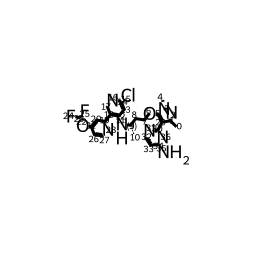 Cc1nn(C)c(OCC[C@H](C)Nc2cc(Cl)ncc2-c2cc(OC(F)F)ccn2)c1-c1nccc(N)n1